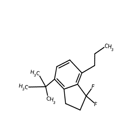 CCCc1ccc(C(C)(C)C)c2c1C(F)(F)CC2